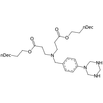 CCCCCCCCCCCCOC(=O)CCN(CCC(=O)OCCCCCCCCCCCC)Cc1ccc(N2CNCNC2)cc1